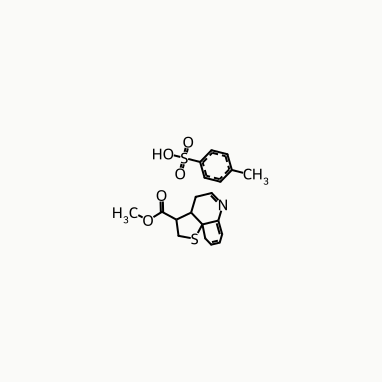 COC(=O)C1CSC23CC=CC=C2N=CCC13.Cc1ccc(S(=O)(=O)O)cc1